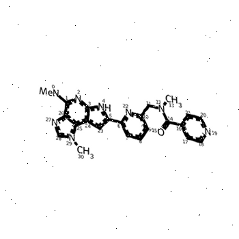 CNc1nc2[nH]c(-c3cccc(CN(C)C(=O)c4ccncc4)n3)cc2c2c1ncn2C